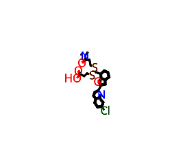 CN(C)C(=O)CCSC(SCCC(=O)O)c1cccc2cc(-c3ccc4ccc(Cl)cc4n3)oc12